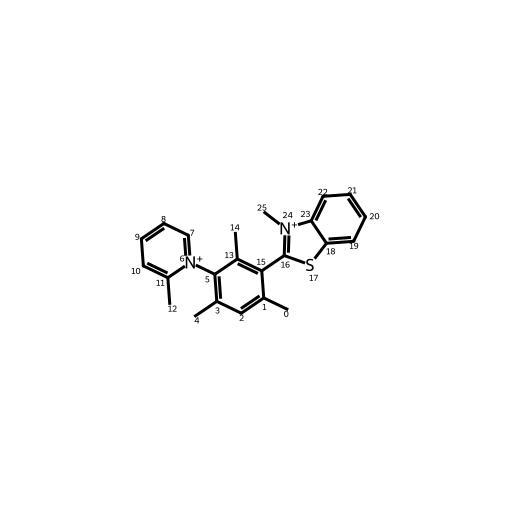 Cc1cc(C)c(-[n+]2ccccc2C)c(C)c1-c1sc2ccccc2[n+]1C